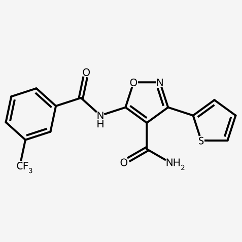 NC(=O)c1c(-c2cccs2)noc1NC(=O)c1cccc(C(F)(F)F)c1